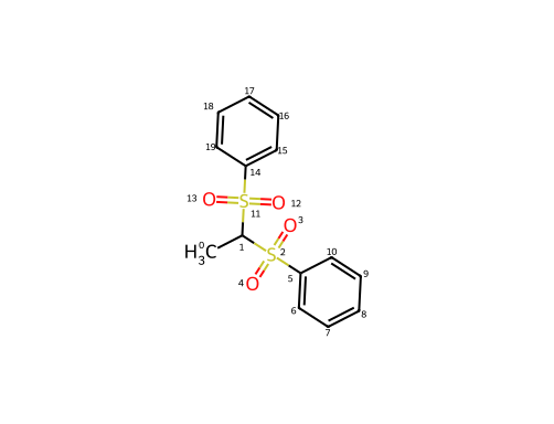 CC(S(=O)(=O)c1ccccc1)S(=O)(=O)c1ccccc1